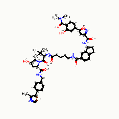 Cc1ncsc1-c1ccc(CNC(=O)[C@@H]2C[C@@H](O)CN2C(=O)C(NC(=O)CCCCNC(=O)c2ccc3c(c2)[C@H](NC(=O)c2cc(-c4ccc(C(=O)N(C)C)c(O)c4)on2)CC3)C(C)(C)C)cc1